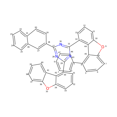 c1ccc(-c2cccc3oc4cccc(-c5nc(-c6ccc7ccccc7c6)nc(-c6cccc7oc8ccccc8c67)n5)c4c23)cc1